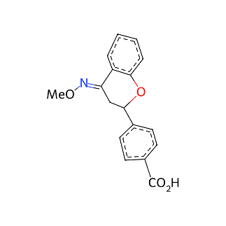 CON=C1CC(c2ccc(C(=O)O)cc2)Oc2ccccc21